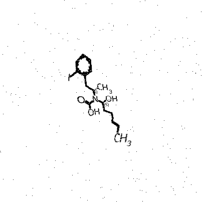 CCCCC[C@H](O)N(C(=O)O)[C@@H](C)Cc1ccccc1I